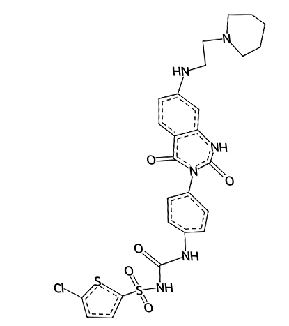 O=C(Nc1ccc(-n2c(=O)[nH]c3cc(NCCN4CCCCC4)ccc3c2=O)cc1)NS(=O)(=O)c1ccc(Cl)s1